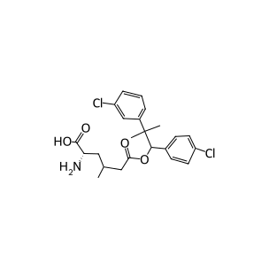 CC(CC(=O)OC(c1ccc(Cl)cc1)C(C)(C)c1cccc(Cl)c1)C[C@H](N)C(=O)O